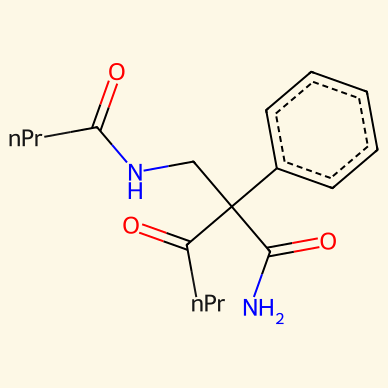 CCCC(=O)NCC(C(N)=O)(C(=O)CCC)c1ccccc1